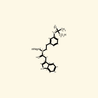 CCCCCCCN(CCc1cccc(OC(C)(CC)C(=O)O)c1)C(=O)Cc1csc2ccccc12